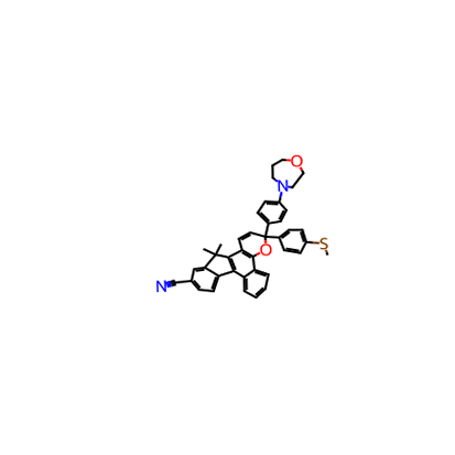 CSc1ccc(C2(c3ccc(N4CCCOCC4)cc3)C=Cc3c4c(c5ccccc5c3O2)-c2ccc(C#N)cc2C4(C)C)cc1